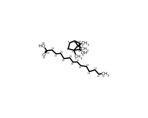 CC1(C)C2CCC1(C)C(O)C2.CCCCCCCCCCCCCC(=O)O